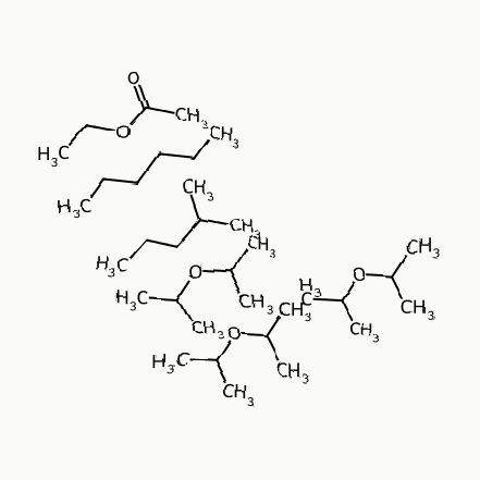 CC(C)OC(C)C.CC(C)OC(C)C.CC(C)OC(C)C.CCCC(C)C.CCCCCC.CCOC(C)=O